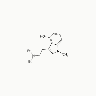 CCN(CC)CCc1cn(C)c2cccc(O)c12